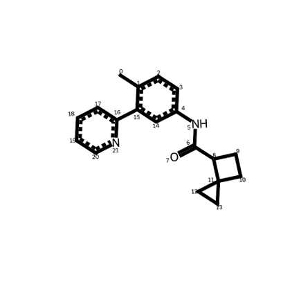 Cc1ccc(NC(=O)C2CCC23CC3)cc1-c1ccccn1